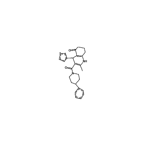 CC1=C(C(=O)N2CCC(c3ccccc3)CC2)C(c2ccsc2)C2=C(CCCC2=O)N1